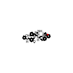 CCC[C@@H](CCO[Si](c1ccccc1)(c1ccccc1)C(C)(C)C)Nc1nc(N)nc2c3ccccc3n(Cc3cc(CN[C@H]4CCC[C@H]4O)ccc3OC)c12